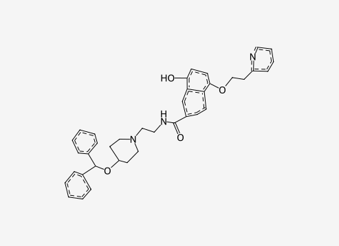 O=C(NCCN1CCC(OC(c2ccccc2)c2ccccc2)CC1)c1ccc2c(OCCc3ccccn3)ccc(O)c2c1